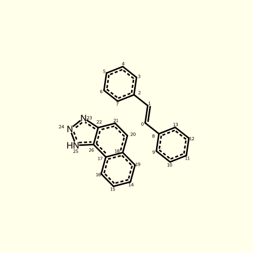 C(=Cc1ccccc1)c1ccccc1.c1ccc2c(c1)ccc1nn[nH]c12